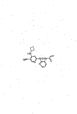 C=CC(=O)Nc1cccnc1Nc1cc(NC2CCC2)c(C#N)cn1